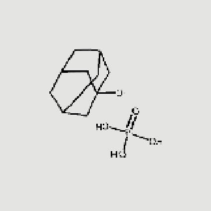 O=P(O)(O)O.[O]C12CC3CC(CC(C3)C1)C2